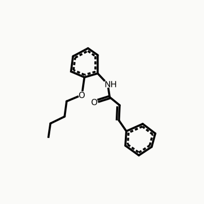 CCCCOc1ccccc1NC(=O)/C=C/c1ccccc1